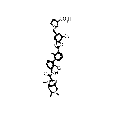 Cc1c(-c2nc3cc(CN4CC[C@@H](C(=O)O)C4)cc(C#N)c3o2)cccc1-c1cccc(NC(=O)c2nc3c(n2C)CC(C)N(C)C3)c1Cl